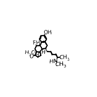 CNC(C)CCCC[C@@H]1Cc2cc(O)ccc2[C@@H]2[C@@H]1[C@@H]1CCC(=O)[C@@]1(C)C[C@@H]2F